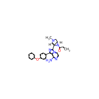 C=CC(=O)N1C(c2nc(-c3ccc(Oc4ccccc4)cc3)c3c(N)nccn23)[C@@H]2C[C@H]1CN2C